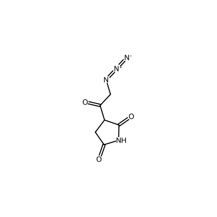 [N-]=[N+]=NCC(=O)C1CC(=O)NC1=O